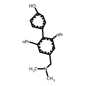 CCCc1cc(CN(C)C)cc(CCC)c1-c1ccc(O)cc1